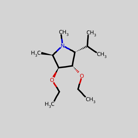 CCO[C@@H]1[C@@H](OCC)[C@@H](C(C)C)N(C)[C@@H]1C